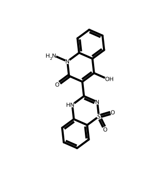 Nn1c(=O)c(C2=NS(=O)(=O)c3ccccc3N2)c(O)c2ccccc21